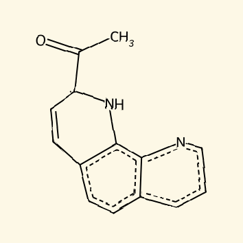 CC(=O)[C]1C=Cc2ccc3cccnc3c2N1